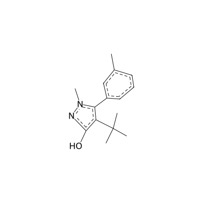 Cc1cccc(-c2c(C(C)(C)C)c(O)nn2C)c1